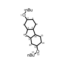 CCCCOC1CCC2C(C1)SC1CC(OCCCC)CCC12